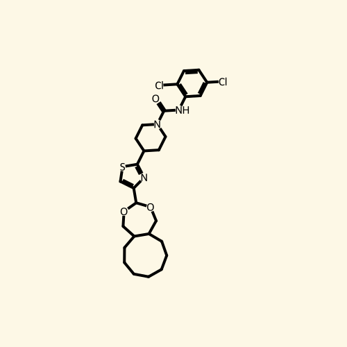 O=C(Nc1cc(Cl)ccc1Cl)N1CCC(c2nc(C3OCC4CCCCCCCC4CO3)cs2)CC1